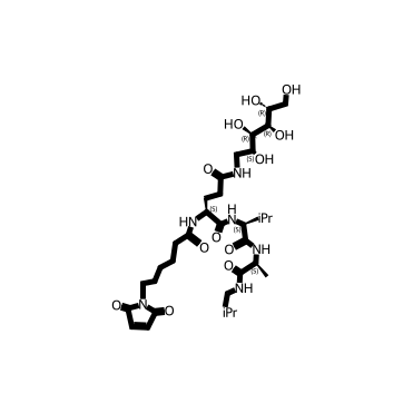 CC(C)CNC(=O)[C@H](C)NC(=O)[C@@H](NC(=O)[C@H](CCC(=O)NC[C@H](O)[C@@H](O)[C@H](O)[C@H](O)CO)NC(=O)CCCCCN1C(=O)C=CC1=O)C(C)C